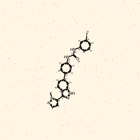 Cn1nccc1-c1n[nH]c2cc(-c3ccc(NC(=O)Nc4cccc(F)c4)cc3)ccc12